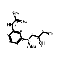 CCCCN(CC(O)CCl)c1cccc(NC(=O)CCC)c1